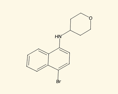 Brc1ccc(NC2CCOCC2)c2ccccc12